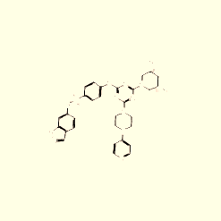 N[C@@H]1C[C@H](N)CN(c2nc(Nc3ccc(S(=O)(=O)Nc4ccc5cn[nH]c5c4)cc3)nc(N3CCN(c4ccncc4)CC3)n2)C1